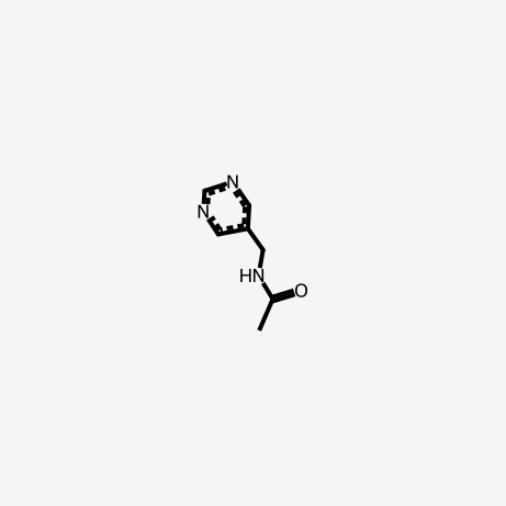 CC(=O)NCc1cncnc1